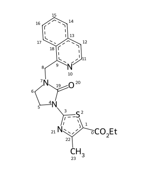 CCOC(=O)c1sc(N2CCN(Cc3nccc4ccccc34)C2=O)nc1C